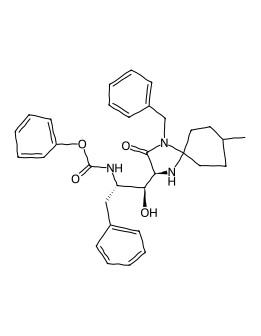 CC1CCC2(CC1)N[C@@H]([C@@H](O)[C@H](Cc1ccccc1)NC(=O)Oc1ccccc1)C(=O)N2Cc1ccccc1